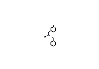 N#C/C(=C/c1cccc(O)c1)S(=O)(=O)Cc1ccccc1